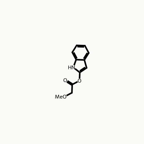 COCC(=O)Oc1cc2ccccc2[nH]1